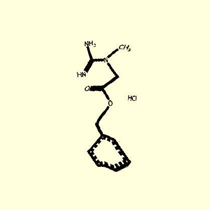 CN(CC(=O)OCc1ccccc1)C(=N)N.Cl